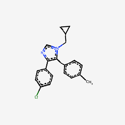 Cc1ccc(-c2c(-c3ccc(Cl)cc3)ncn2CC2CC2)cc1